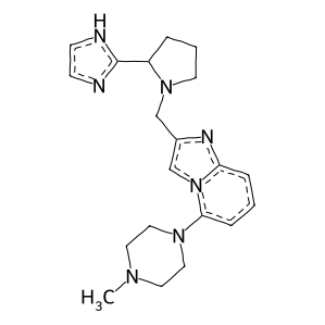 CN1CCN(c2cccc3nc(CN4CCCC4c4ncc[nH]4)cn23)CC1